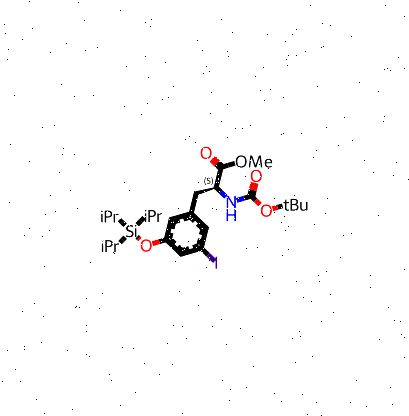 COC(=O)[C@H](Cc1cc(I)cc(O[Si](C(C)C)(C(C)C)C(C)C)c1)NC(=O)OC(C)(C)C